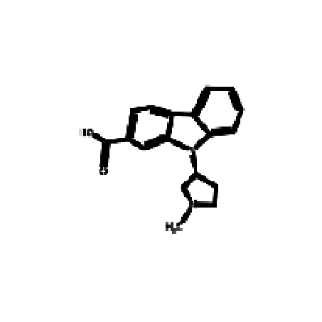 CN1CC[C@H](n2c3ccccc3c3ccc(C(=O)O)cc32)C1